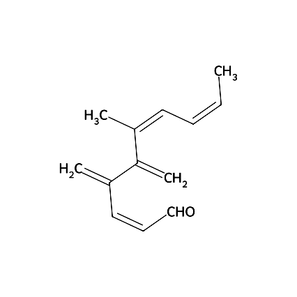 C=C(/C=C\C=O)C(=C)/C(C)=C\C=C/C